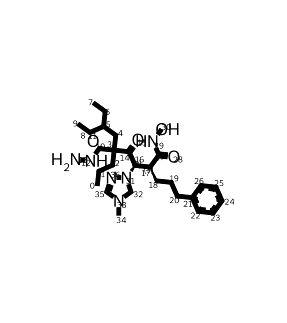 CCCC(CC(CC)CC)(C(=O)NN)C(=O)[C@@H]([C@H](CCCc1ccccc1)C(=O)NO)N1CN(C)C=N1